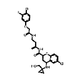 C=C(CCNC(=O)COc1ccc(Cl)c(F)c1)NC(=O)C1CC(NC2(CO)CC2)c2cc(Cl)ccc2O1